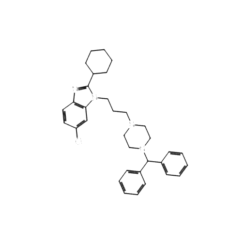 Clc1ccc2nc(C3CCCCC3)n(CCCN3CCN(C(c4ccccc4)c4ccccc4)CC3)c2c1